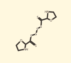 S=C(SSSSC(=S)C1NCCO1)C1NCCO1